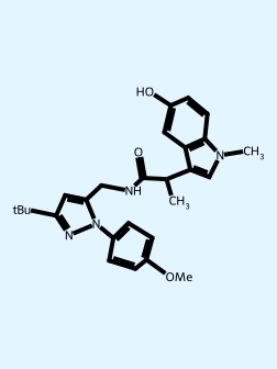 COc1ccc(-n2nc(C(C)(C)C)cc2CNC(=O)C(C)c2cn(C)c3ccc(O)cc23)cc1